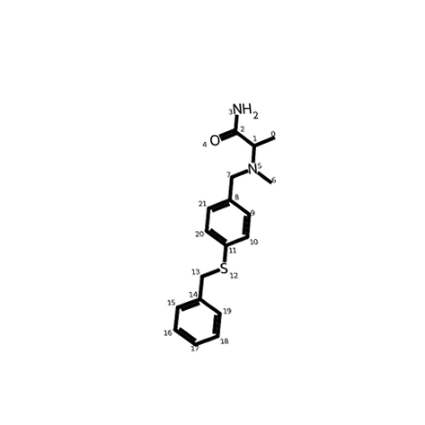 CC(C(N)=O)N(C)Cc1ccc(SCc2ccccc2)cc1